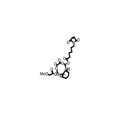 COCC(=O)OC1N[C@@H]2CCCC[C@H]2N[C@H](OC(=O)CCCCCN2C(=O)C=CC2=O)OC(=O)C(=O)O1